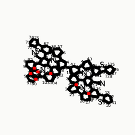 N#Cc1c(-c2ccc3sc4ccccc4c3c2)c(-n2c3ccccc3c3ccccc32)c(-c2ccccc2)c(-n2c3ccccc3c3cc(-c4ccc5c(c4)c4ccccc4n5-c4c(-c5cccc6c5sc5ccccc56)c(C#N)c(-c5cccc6c5sc5ccccc56)c(-n5c6ccccc6c6ccccc65)c4-c4ccccc4)ccc32)c1-c1ccc2sc3ccccc3c2c1